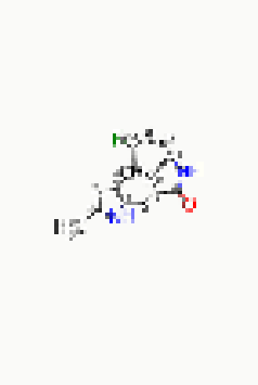 Cc1cc(C)c(CC2C(=O)Nc3ccc(F)cc32)[nH]1